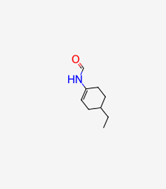 CCC1CC=C(NC=O)CC1